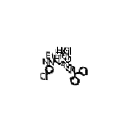 CCc1nc2cc(Cl)ccc2n1CCCN1CCN(C(c2ccccc2)c2ccccc2)CC1.Cl.Cl.Cl.O